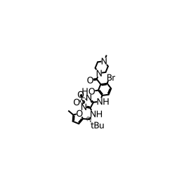 Cc1ccc([C@H](NC2=NS(=O)(=O)N=C2Nc2ccc(Br)c(C(=O)N3CCN(C)CC3)c2O)C(C)(C)C)o1